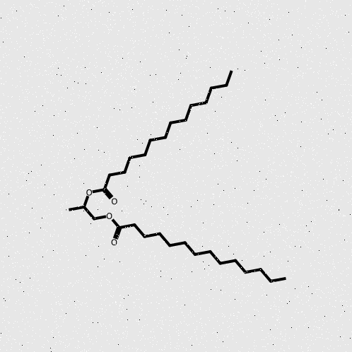 [CH2]C(COC(=O)CCCCCCCCCCCCC)OC(=O)CCCCCCCCCCCCC